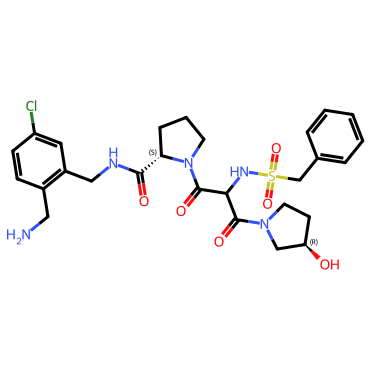 NCc1ccc(Cl)cc1CNC(=O)[C@@H]1CCCN1C(=O)C(NS(=O)(=O)Cc1ccccc1)C(=O)N1CC[C@@H](O)C1